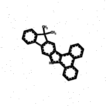 CC1(C)c2ccccc2-c2cc3[nH]c4c5ccccc5c5ccccc5c4c3cc21